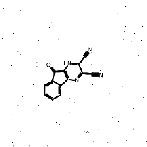 N#CC1=NC2=C(NC1C#N)C(=O)c1ccccc12